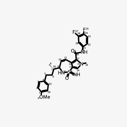 COc1ccc(CC[C@H](C)C2C=Cc3c(cn(C)c3C(=O)Nc3ccc(F)c(F)c3)S(=N)(=O)N2)cc1